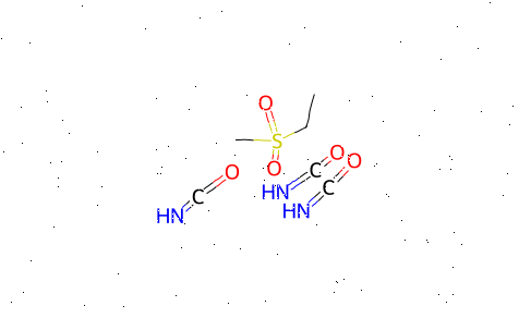 CCS(C)(=O)=O.N=C=O.N=C=O.N=C=O